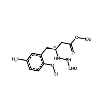 CCOc1ccc(N)cc1C[C@@H](CC(=O)OC(C)(C)C)NBC=O